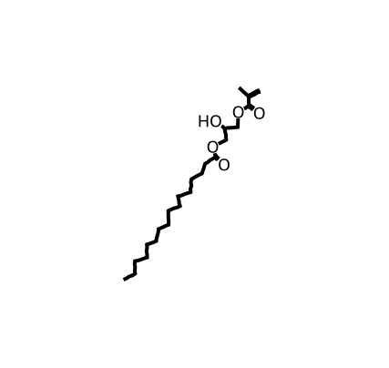 C=C(C)C(=O)OCC(O)COC(=O)CCCCCCCCCCCCCCC